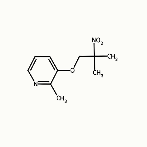 Cc1ncccc1OCC(C)(C)[N+](=O)[O-]